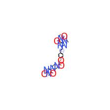 CCn1c(=O)c2c(nc(/C=C/c3ccc(OCC(=O)N4CCN(c5c(C)n(C)c(=O)n(C)c5=O)CC4)cc3)n2C)n(CC)c1=O